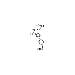 CCCCOc1ccc(-c2cn(C(=O)N(C)C3CCNCC3)cn2)cc1